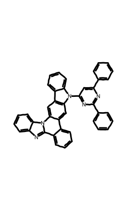 c1ccc(-c2cc(-n3c4ccccc4c4cc5c(cc43)c3ccccc3c3nc4ccccc4n53)nc(-c3ccccc3)n2)cc1